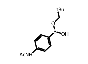 CC(=O)Nc1ccc(B(O)OCC(C)(C)C)cc1